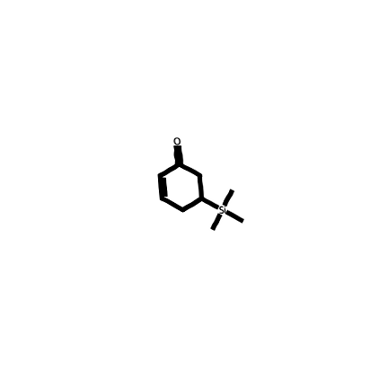 C[Si](C)(C)C1CC=CC(=O)C1